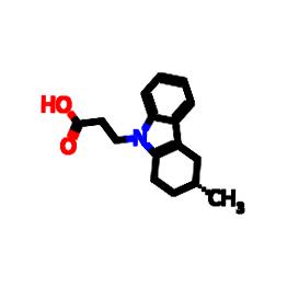 C[C@@H]1CCc2c(c3ccccc3n2CCC(=O)O)C1